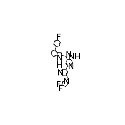 Fc1ccc(-c2cccc3[nH]c(-c4n[nH]c5cnc(-c6cncc(CN7CCC(F)(F)C7)c6)cc45)cc23)cc1